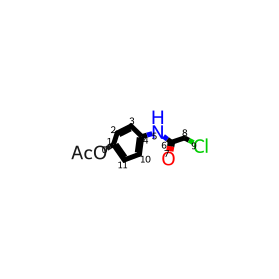 CC(=O)Oc1ccc(NC(=O)CCl)cc1